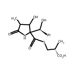 CC1C(=O)NC(C(=O)SC[C@H](C)C(=O)O)([C@@H](O)C(C)C)C1O